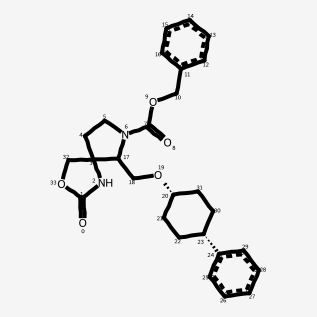 O=C1NC2(CCN(C(=O)OCc3ccccc3)C2CO[C@H]2CC[C@@H](c3ccccc3)CC2)CO1